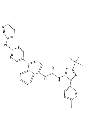 Cc1ccc(-n2nc(C(C)(C)C)cc2NC(=O)Nc2ccc(-c3cnc(Nc4cccnc4)nc3)c3ccccc23)cc1